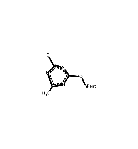 CCCCCOc1nc(C)nc(C)n1